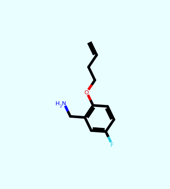 C=CCCOc1ccc(F)cc1CN